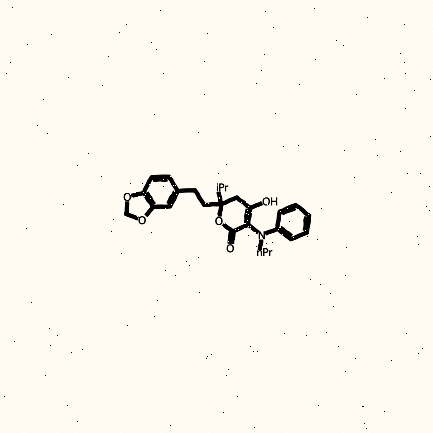 CCCN(C1=C(O)CC(CCc2ccc3c(c2)OCO3)(C(C)C)OC1=O)c1ccccc1